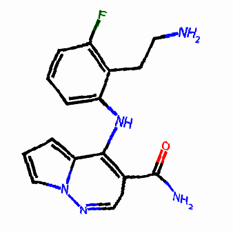 NCCc1c(F)cccc1Nc1c(C(N)=O)cnn2cccc12